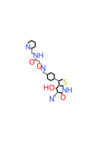 N#Cc1c(O)c2c(-c3ccc(C=NOCC(=O)NCc4ccccn4)cc3)csc2[nH]c1=O